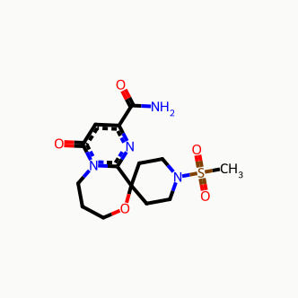 CS(=O)(=O)N1CCC2(CC1)OCCCn1c2nc(C(N)=O)cc1=O